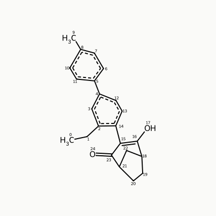 CCc1cc(-c2ccc(C)cc2)ccc1C1=C(O)C2CCC(C2)C1=O